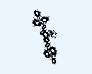 O=S1(=O)N=c2c(c3cc(-c4ccc(N5c6ccccc6N(c6ccccc6)c6ccccc65)cc4)ccc3c3ccc(-c4ccc(N5c6ccccc6N(c6ccccc6)c6ccccc65)cc4)cc23)=N1